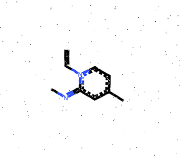 C=Cn1ccc(C)c/c1=N/C